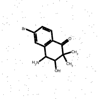 CC1(C)C(=O)c2ccc(Br)cc2C(N)C1O